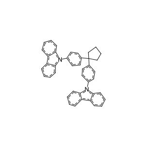 c1ccc2c(c1)c1ccccc1n2-c1ccc(C2(c3ccc(-n4c5ccccc5c5ccccc54)cc3)CCCC2)cc1